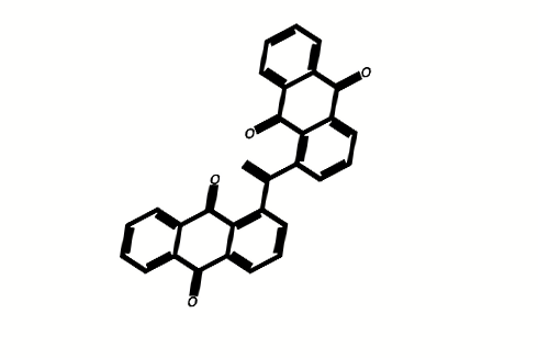 C=C(c1cccc2c1C(=O)c1ccccc1C2=O)c1cccc2c1C(=O)c1ccccc1C2=O